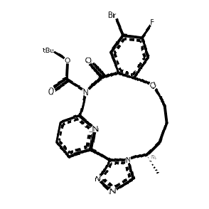 C[C@H]1CCCOc2cc(F)c(Br)cc2C(=O)N(C(=O)OC(C)(C)C)c2cccc(n2)-c2nncn21